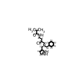 CC(C)C(=O)NCCC(Cl)CN(CC1=CCNN1)Cc1ccccc1